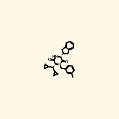 Cc1cccc(CN2C(=O)[C@@H](C3Cc4ccccc4C3)NC(=O)[C@H]2C(C2CC2)C2CC2)c1